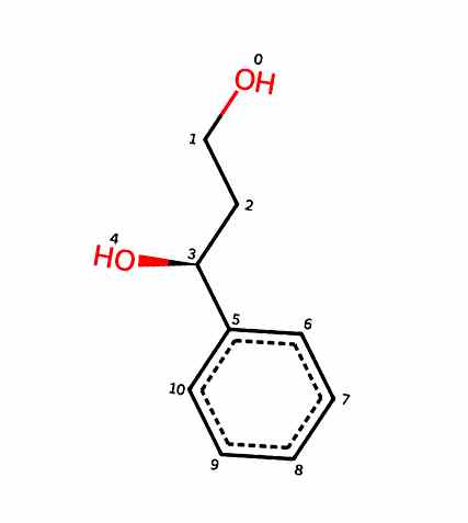 OCC[C@H](O)c1ccccc1